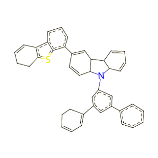 C1=CCCC(c2cc(-c3ccccc3)cc(N3C4C=CC=CC4C4C=C(c5cccc6c7c(sc56)CCC=C7)C=CC43)c2)=C1